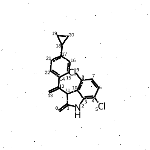 C=C1Nc2c(Cl)ccc(Cl)c2C1C(=C)c1ccc(C2CC2)cc1